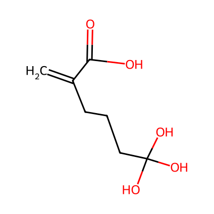 C=C(CCCC(O)(O)O)C(=O)O